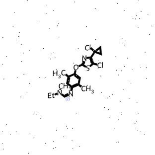 CCN(C)/C=N\c1cc(C)c(Oc2nc(C3(Cl)CC3)c(Cl)s2)cc1C